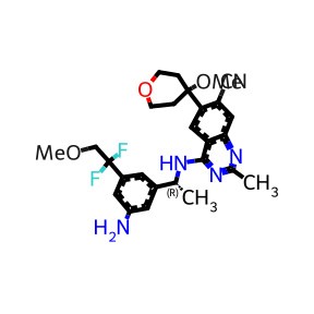 COCC(F)(F)c1cc(N)cc([C@@H](C)Nc2nc(C)nc3cc(C#N)c(C4(OC)CCOCC4)cc23)c1